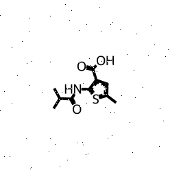 Cc1cc(C(=O)O)c(NC(=O)C(C)C)s1